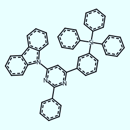 c1ccc(-c2nc(-c3cccc([Si](c4ccccc4)(c4ccccc4)c4ccccc4)c3)cc(-n3c4ccccc4c4ccccc43)n2)cc1